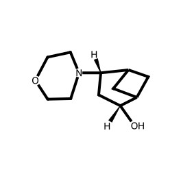 O[C@@H]1C[C@H](N2CCOCC2)C2CC1C2